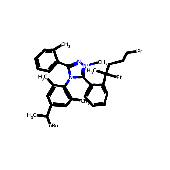 CCCCC(C)c1cc(C)c(-n2c(-c3ccccc3C)n[n+](C)c2-c2ccccc2C(C)(CC)CCCC(C)C)c(C)c1